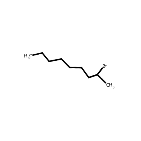 CCCCCCCC(C)Br